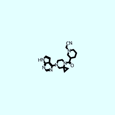 N#CCN1CCCC(C(=O)N2CCN(c3ncnc4[nH]ccc34)CC23CC3)C1